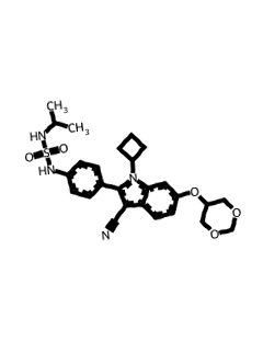 CC(C)NS(=O)(=O)Nc1ccc(-c2c(C#N)c3ccc(OC4COCOC4)cc3n2C2CCC2)cc1